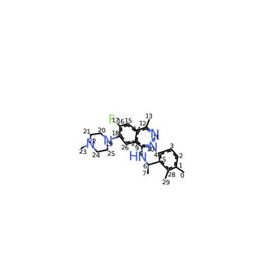 Cc1cccc([C@@H](C)Nc2nnc(C)c3cc(F)c(N4CCN(C)CC4)cc23)c1C